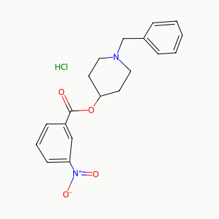 Cl.O=C(OC1CCN(Cc2ccccc2)CC1)c1cccc([N+](=O)[O-])c1